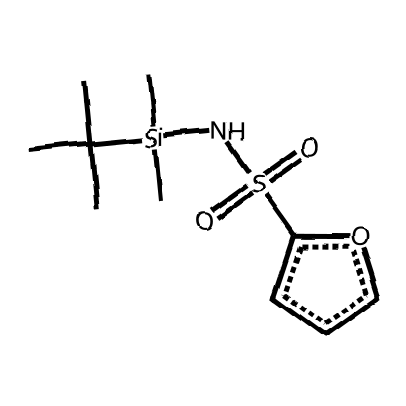 CC(C)(C)[Si](C)(C)NS(=O)(=O)c1ccco1